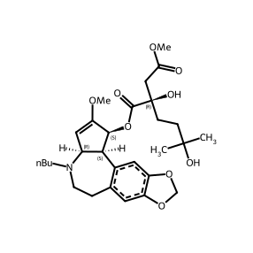 CCCCN1CCc2cc3c(cc2[C@@H]2[C@H](OC(=O)[C@@](O)(CCC(C)(C)O)CC(=O)OC)C(OC)=C[C@@H]21)OCO3